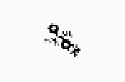 CC(c1ccc2c(c1)OC(F)(F)O2)N(C(=O)O)c1ccccc1